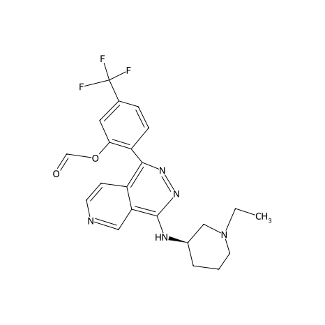 CCN1CCC[C@@H](Nc2nnc(-c3ccc(C(F)(F)F)cc3OC=O)c3ccncc23)C1